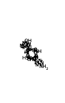 Nc1ncnc2c1ncn2[C@H]1C[C@@H]2OP(=O)(S)OC[C@H]3C[C@@H](n4cnc5c(O)nc6nccn6c54)[C@@H]3COP(=O)(S)OC[C@H]2O1